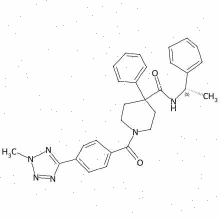 C[C@H](NC(=O)C1(c2ccccc2)CCN(C(=O)c2ccc(-c3nnn(C)n3)cc2)CC1)c1ccccc1